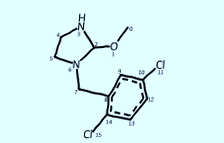 COC1NCCN1Cc1cc(Cl)ccc1Cl